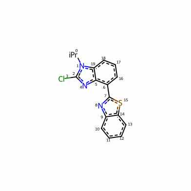 CC(C)n1c(Cl)nc2c(-c3nc4ccccc4s3)cccc21